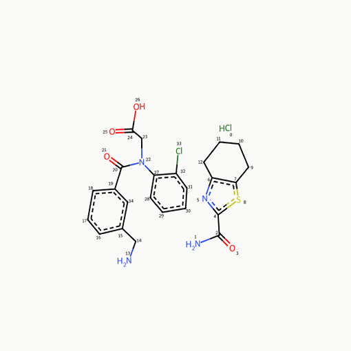 Cl.NC(=O)c1nc2c(s1)CCCC2.NCc1cccc(C(=O)N(CC(=O)O)c2ccccc2Cl)c1